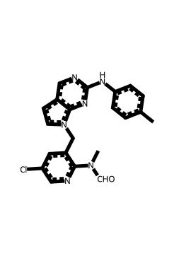 Cc1ccc(Nc2ncc3ccn(Cc4cc(Cl)cnc4N(C)C=O)c3n2)cc1